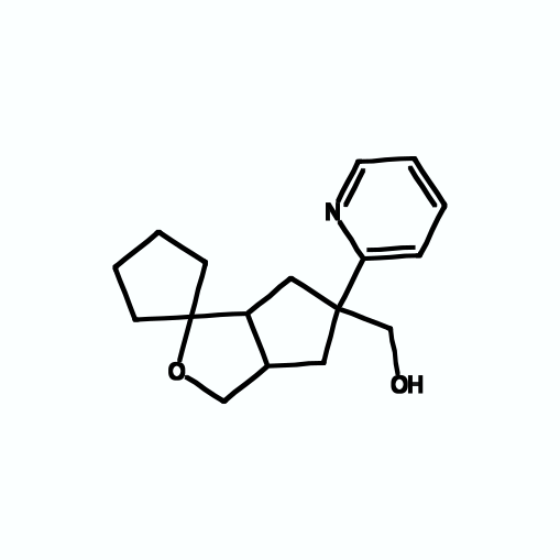 OCC1(c2ccccn2)CC2COC3(CCCC3)C2C1